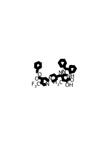 C[C@H]1c2c(C3CCN(c4cc(C(=O)OCc5ccccc5)c(C(F)(F)F)cn4)CC3)nn(C(c3ccccc3)c3ccccc3)c2NC(=O)[C@H]1O